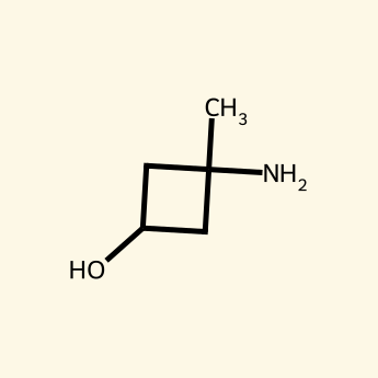 CC1(N)CC(O)C1